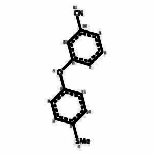 CSc1ccc(Oc2cccc(C#N)c2)cc1